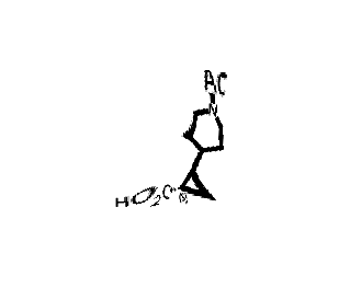 CC(=O)N1CCC(C2C[C@@H]2C(=O)O)CC1